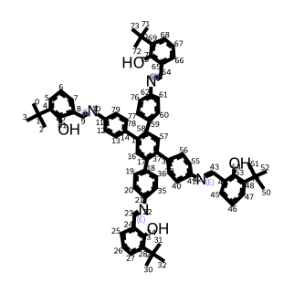 CC(C)(C)c1cccc(/C=N/c2ccc(-c3cc(-c4ccc(/N=C/c5cccc(C(C)(C)C)c5O)cc4)c(-c4ccc(/N=C/c5cccc(C(C)(C)C)c5O)cc4)cc3-c3ccc(/N=C/c4cccc(C(C)(C)C)c4O)cc3)cc2)c1O